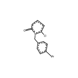 CC(C)c1ccc(Cn2c(Cl)cccc2=O)cc1